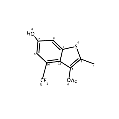 CC(=O)Oc1c(C)sc2cc(O)cc(C(F)(F)F)c12